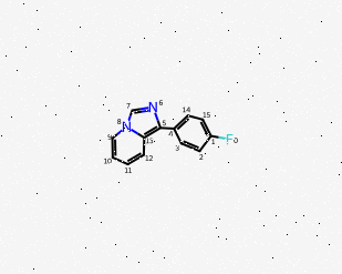 Fc1ccc(-c2ncn3ccccc23)cc1